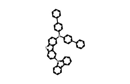 c1ccc(-c2ccc(N(c3ccc(-c4ccccc4)cc3)c3ccc4sc5ccc(-n6c7ccccc7c7ccccc76)cc5c4c3)cc2)cc1